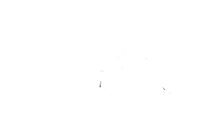 CCCCCCCC[C@]1(O)C=C(Cl)C(=O)C1=C[C@@H](OC(C)=O)[C@H](CCCC(=O)O)OC(C)=O